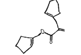 C=C(C(=O)OC1=CCCC1)C1=CCCC1